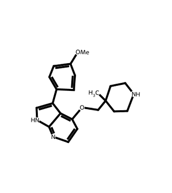 COc1ccc(-c2c[nH]c3nccc(OCC4(C)CCNCC4)c23)cc1